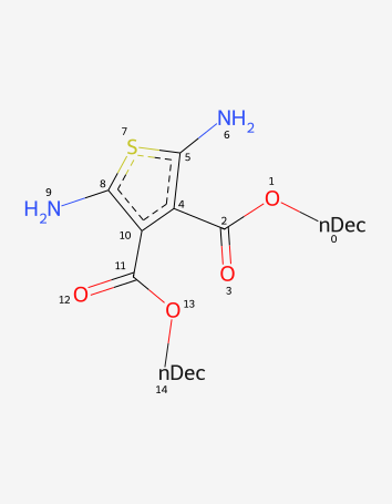 CCCCCCCCCCOC(=O)c1c(N)sc(N)c1C(=O)OCCCCCCCCCC